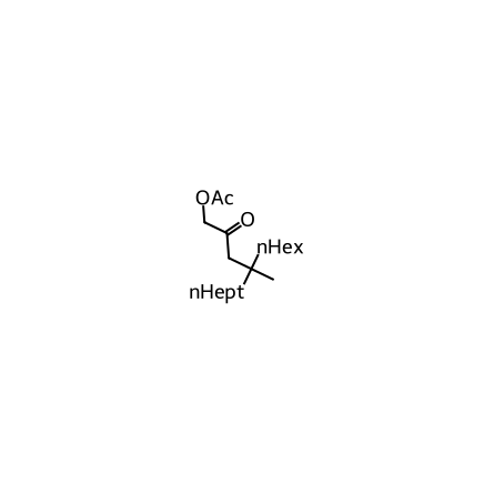 CCCCCCCC(C)(CCCCCC)CC(=O)COC(C)=O